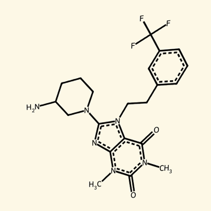 Cn1c(=O)c2c(nc(N3CCCC(N)C3)n2CCc2cccc(C(F)(F)F)c2)n(C)c1=O